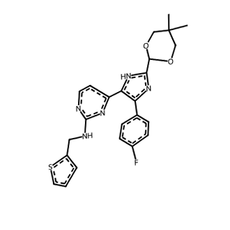 CC1(C)COC(c2nc(-c3ccc(F)cc3)c(-c3ccnc(NCc4cccs4)n3)[nH]2)OC1